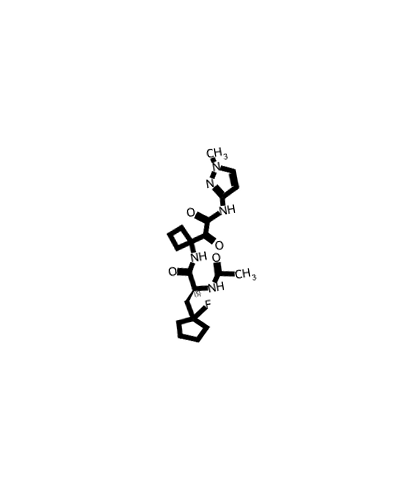 CC(=O)N[C@@H](CC1(F)CCCC1)C(=O)NC1(C(=O)C(=O)Nc2ccn(C)n2)CCC1